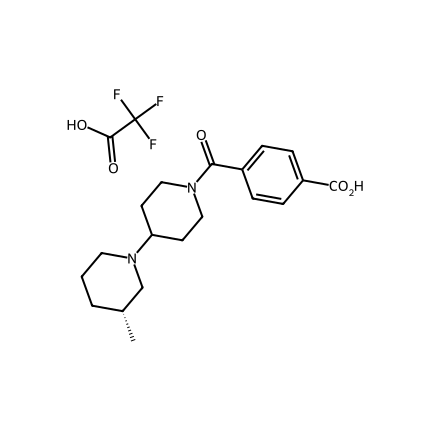 C[C@@H]1CCCN(C2CCN(C(=O)c3ccc(C(=O)O)cc3)CC2)C1.O=C(O)C(F)(F)F